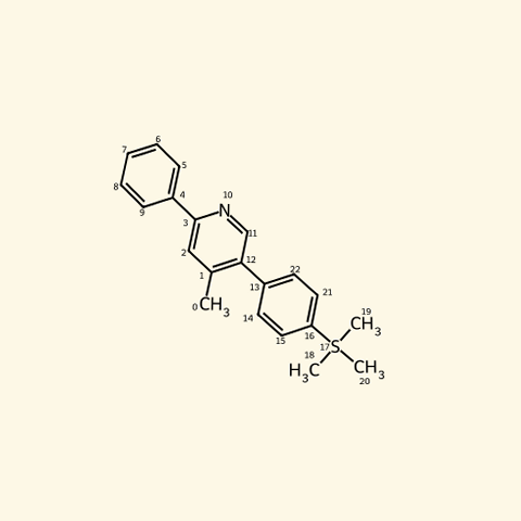 Cc1cc(-c2ccccc2)ncc1-c1ccc(S(C)(C)C)cc1